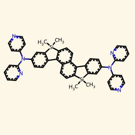 C[Si]1(C)c2cc(N(c3ccncc3)c3ccccn3)ccc2-c2c1ccc1c3c(ccc21)[Si](C)(C)c1cc(N(c2ccncc2)c2ccccn2)ccc1-3